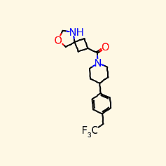 O=C(C1CC2(COCN2)C1)N1CCC(c2ccc(CC(F)(F)F)cc2)CC1